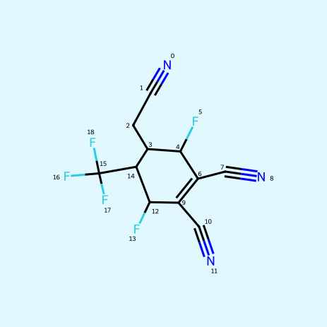 N#CCC1C(F)C(C#N)=C(C#N)C(F)C1C(F)(F)F